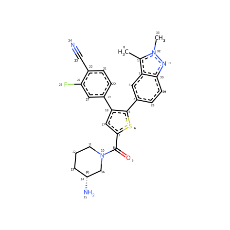 Cc1c2cc(-c3sc(C(=O)N4CCC[C@@H](N)C4)cc3-c3ccc(C#N)c(F)c3)ccc2nn1C